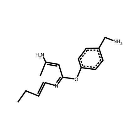 CC/C=C/N=C(\C=C(/C)N)Oc1ccc(CN)cc1